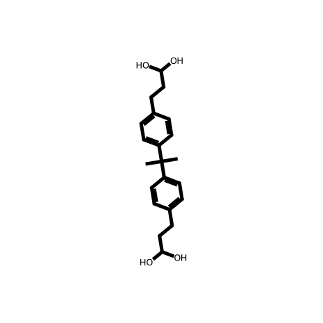 CC(C)(c1ccc(CCC(O)O)cc1)c1ccc(CCC(O)O)cc1